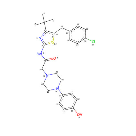 CC(C)(C)c1nc(NC(=O)CN2CCN(c3ccc(O)cc3)CC2)sc1Cc1ccc(Cl)cc1